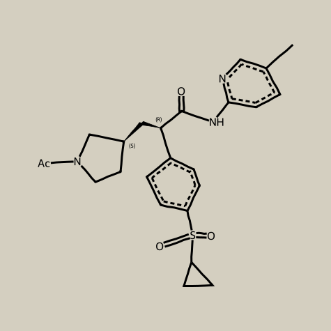 CC(=O)N1CC[C@H](C[C@@H](C(=O)Nc2ccc(C)cn2)c2ccc(S(=O)(=O)C3CC3)cc2)C1